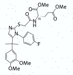 COC(=O)CC[C@H](NC(=O)CSc1ncc(C(C)(C)c2ccc(OC)c(OC)c2)n1-c1ccc(F)cc1)C(=O)OC